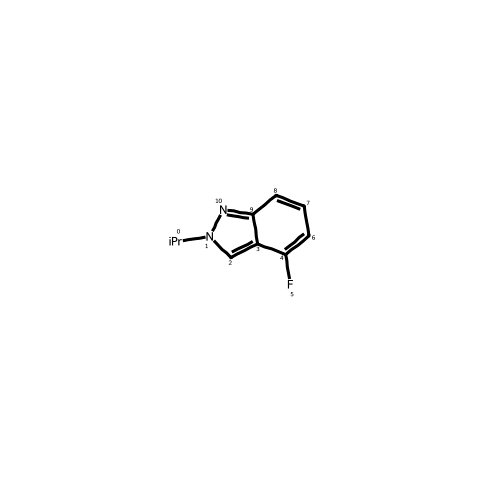 CC(C)n1cc2c(F)cccc2n1